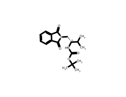 CC(C)[C@@H](CN1C(=O)c2ccccc2C1=O)NC(=O)OC(C)(C)C